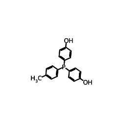 Cc1ccc(P(c2ccc(O)cc2)c2ccc(O)cc2)cc1